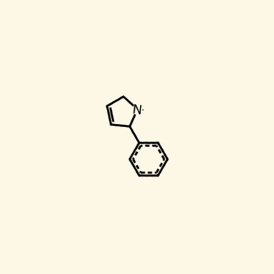 C1=CC(c2ccccc2)[N]C1